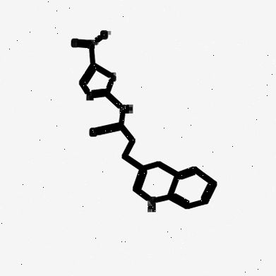 O=C(CCC1=CNc2ccccc2C1)Nc1ncc([N+](=O)[O-])s1